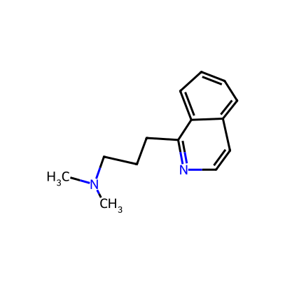 CN(C)CCCc1nccc2ccccc12